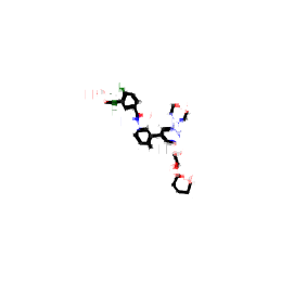 Cc1ccc(NC(=O)c2ccc(F)c(C(F)(F)CO)c2)cc1-c1cc(OCCOC2CCCCO2)nc(N2CCOCC2)c1